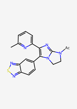 CC(=O)N1CCn2c1nc(-c1cccc(C)n1)c2-c1ccc2nsnc2c1